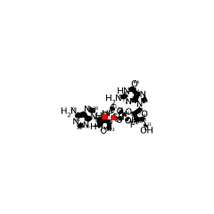 Nc1nc2c(ncn2[C@@H]2O[C@H](CO)[C@H](F)[C@H]2OP(=O)(O)OC[C@@]23CO[C@@H]([C@H](n4cnc5c(N)ncnc54)O2)[C@@H]3O[PH](=S)S)c(=O)[nH]1